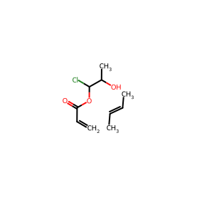 C=CC(=O)OC(Cl)C(C)O.CC=CC